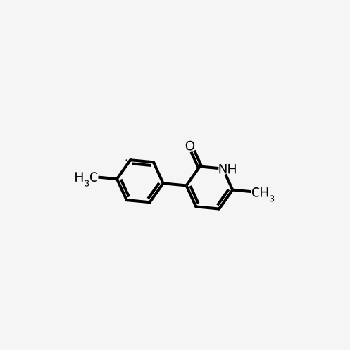 Cc1[c]cc(-c2ccc(C)[nH]c2=O)cc1